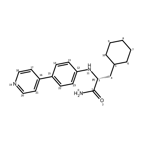 NC(=O)[C@@H](CC1CCCCC1)Nc1ccc(-c2ccncc2)cc1